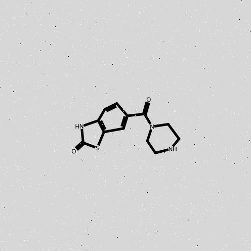 O=C(c1ccc2[nH]c(=O)sc2c1)N1CCNCC1